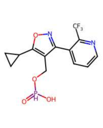 O=[PH](O)OCc1c(-c2cccnc2C(F)(F)F)noc1C1CC1